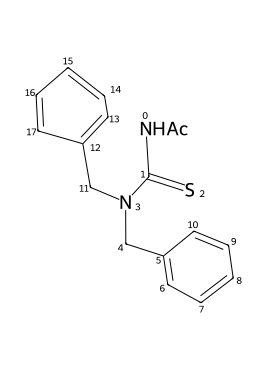 CC(=O)NC(=S)N(Cc1ccccc1)Cc1ccccc1